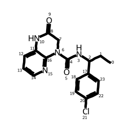 CCC(NC(=O)N1CC(=O)Nc2cccnc21)c1ccc(Cl)cc1